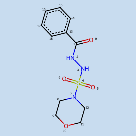 O=C(NNS(=O)(=O)N1CCOCC1)c1ccccc1